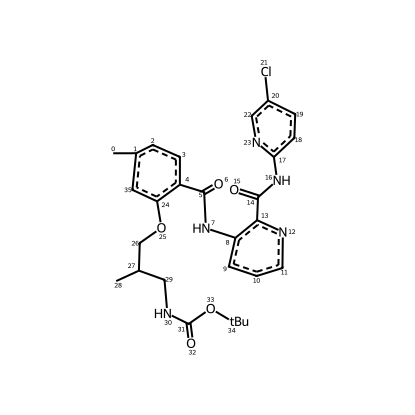 Cc1ccc(C(=O)Nc2cccnc2C(=O)Nc2ccc(Cl)cn2)c(OCC(C)CNC(=O)OC(C)(C)C)c1